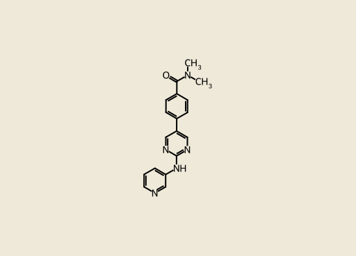 CN(C)C(=O)c1ccc(-c2cnc(Nc3cccnc3)nc2)cc1